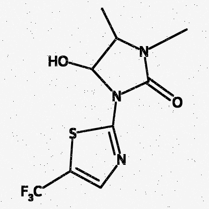 CC1C(O)N(c2ncc(C(F)(F)F)s2)C(=O)N1C